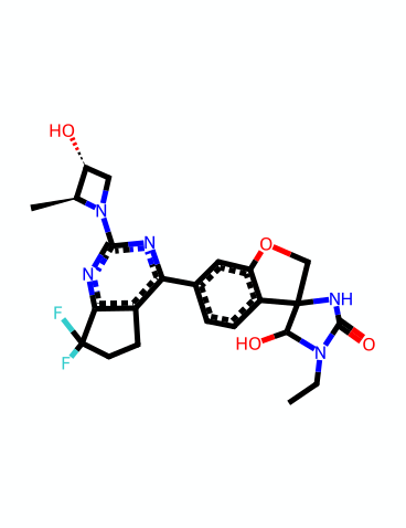 CCN1C(=O)NC2(COc3cc(-c4nc(N5C[C@@H](O)[C@@H]5C)nc5c4CCC5(F)F)ccc32)C1O